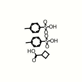 Cc1ccc(S(=O)(=O)O)cc1.Cc1ccc(S(=O)(=O)O)cc1.O=C(O)C1CCC1